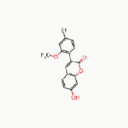 CCc1ccc(-c2cc3ccc(O)cc3oc2=O)c(OC(F)(F)F)c1